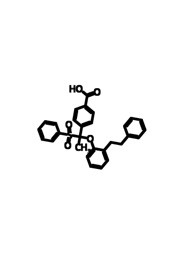 CC(Oc1ccccc1CCc1ccccc1)(c1ccc(C(=O)O)cc1)S(=O)(=O)c1ccccc1